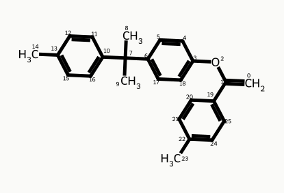 C=C(Oc1ccc(C(C)(C)c2ccc(C)cc2)cc1)c1ccc(C)cc1